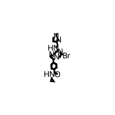 Cn1ccc(CNc2nc(Br)cn3c(-c4ccc(C(=O)NC5CC5)cc4)cnc23)n1